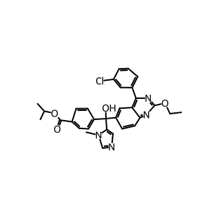 CCOc1nc(-c2cccc(Cl)c2)c2cc(C(O)(c3ccc(C(=O)OC(C)C)cc3)c3cncn3C)ccc2n1